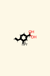 C=Cc1ccc(C(O)O)cc1CCC